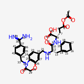 CC(=O)OC(=O)CC[C@H](NC(=O)[C@H](Cc1ccccc1)NCc1ccc2c(c1)OCC(=O)N2Cc1ccc(C(=N)N)cc1)C(=O)O